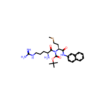 CSCC[C@@H](C(=O)Nc1ccc2ccccc2c1)N(C(=O)OC(C)(C)C)C(=O)[C@@H](N)CCCNC(=N)N